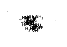 C[C@@H](O)C1O[C@H](O[C@@H]2C(N)C[C@@H](NC(=O)C(O)CCN)C(O)C2O[C@@H]2O[C@H]([C@@H](C)NC(=N)N)C(O)C2O)C(N)C(O)[C@@H]1O